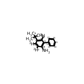 [2H]c1c([2H])c(C(C)(C)C)c([2H])c(-c2ccccc2)c1N